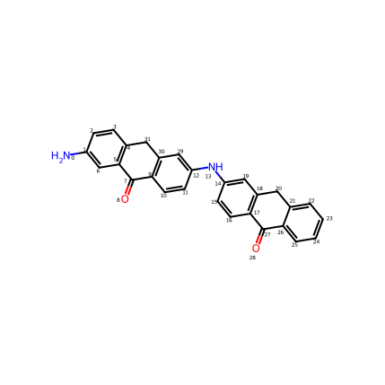 Nc1ccc2c(c1)C(=O)c1ccc(Nc3ccc4c(c3)Cc3ccccc3C4=O)cc1C2